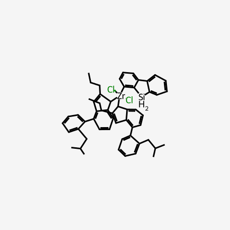 CCCC1=Cc2c(-c3ccccc3CC(C)C)cccc2[CH]1[Zr]([Cl])([Cl])([c]1cccc2c1[SiH2]c1ccccc1-2)[CH]1C(CCC)=Cc2c(-c3ccccc3CC(C)C)cccc21